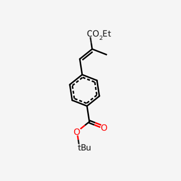 CCOC(=O)/C(C)=C/c1ccc(C(=O)OC(C)(C)C)cc1